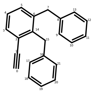 C#Cc1cccc(Cc2ccccc2)c1Cc1ccccc1